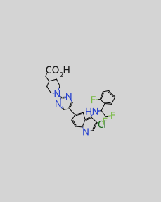 O=C(O)CC1CCN(c2ncc(-c3ccc4ncc(Cl)c(N[C@@H](c5ccccc5F)C(F)F)c4c3)cn2)CC1